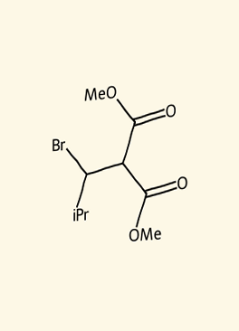 COC(=O)C(C(=O)OC)C(Br)C(C)C